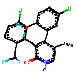 COc1c[nH]c(=O)c(-c2cc(Cl)ccc2C(F)F)c1-c1cc(Cl)ccc1C(F)F